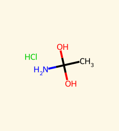 CC(N)(O)O.Cl